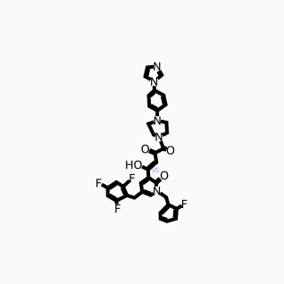 O=C(/C=C(\O)c1cc(Cc2c(F)cc(F)cc2F)cn(Cc2ccccc2F)c1=O)C(=O)N1CCN(c2ccc(-n3ccnc3)cc2)CC1